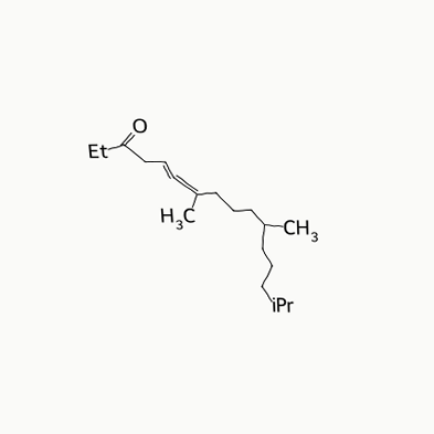 CCC(=O)CC=C=C(C)CCCC(C)CCCC(C)C